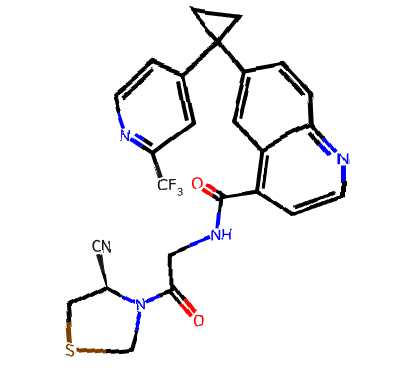 N#C[C@@H]1CSCN1C(=O)CNC(=O)c1ccnc2ccc(C3(c4ccnc(C(F)(F)F)c4)CC3)cc12